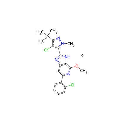 COc1nc(-c2ccccc2Cl)cc2nc(-c3c(Cl)c(C(C)(C)C)nn3C)[nH]c12.[K]